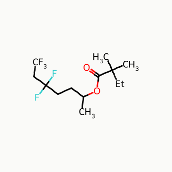 CCC(C)(C)C(=O)OC(C)CCC(F)(F)CC(F)(F)F